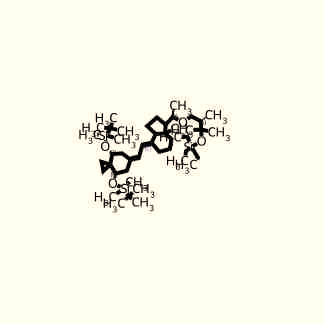 CC[Si](CC)(CC)OC(C)(C)[C@@H](C)CO[C@H](C)C1CCC2/C(=C/C=C3C[C@@H](O[Si](C)(C)C(C)(C)C)C4(CC4)[C@H](O[Si](C)(C)C(C)(C)C)C3)CCCC21C